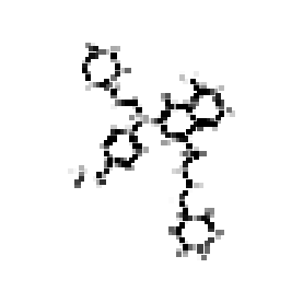 FC(F)(F)Oc1ccc(N(CCN2CCOCC2)c2cc(NCCCN3CCOCC3)c3cccc(Cl)c3n2)cc1